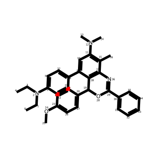 CCN(CC)c1ccc(-c2cc(N(C)C)c(C)c3c2C(c2ccc(OC)cc2)OC(c2ccccc2)=N3)cc1